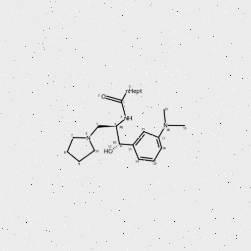 CCCCCCCC(=O)N[C@H](CN1CCCC1)[C@@H](O)c1cccc(N(C)C)c1